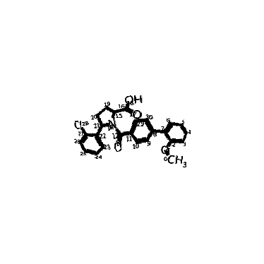 COc1ccccc1-c1ccc(C(=O)N2C(C(=O)O)CCC2c2ccccc2Cl)cc1